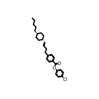 CCCCC[C@H]1CC[C@H](C=CCCc2ccc(C(=O)Oc3ccc(Cl)cc3)cc2)CC1